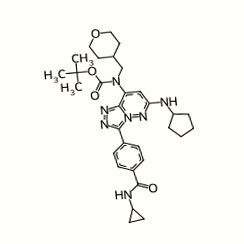 CC(C)(C)OC(=O)N(CC1CCOCC1)c1cc(NC2CCCC2)nn2c(-c3ccc(C(=O)NC4CC4)cc3)nnc12